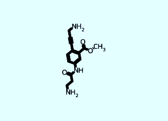 COC(=O)c1cc(NC(=O)CCN)ccc1C#CCN